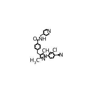 Cc1nn(-c2ccc(C#N)c(Cl)c2)c(C)c1Cc1ccc(C(=O)NCc2ccncc2)cc1